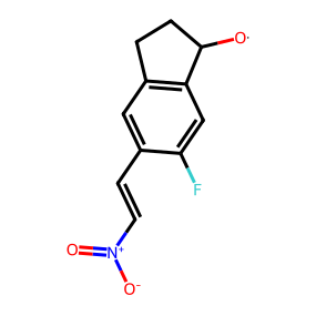 [O]C1CCc2cc(/C=C/[N+](=O)[O-])c(F)cc21